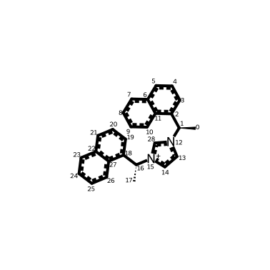 C[C@H](c1cccc2ccccc12)n1cc[n+]([C@H](C)c2cccc3ccccc23)c1